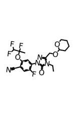 CCn1c(COC2CCCCO2)nn(-c2cc(OC(C)(F)C(F)F)c(C#N)cc2F)c1=O